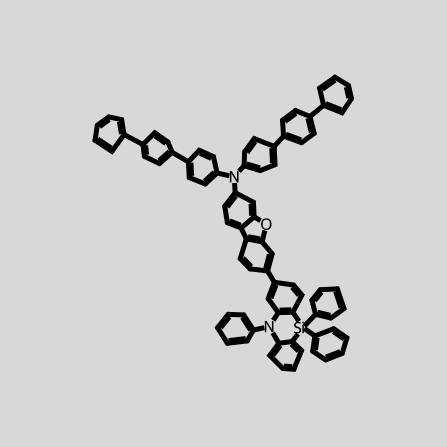 c1ccc(-c2ccc(-c3ccc(N(c4ccc(-c5ccc(-c6ccccc6)cc5)cc4)c4ccc5c(c4)oc4cc(-c6ccc7c(c6)N(c6ccccc6)c6ccccc6[Si]7(c6ccccc6)c6ccccc6)ccc45)cc3)cc2)cc1